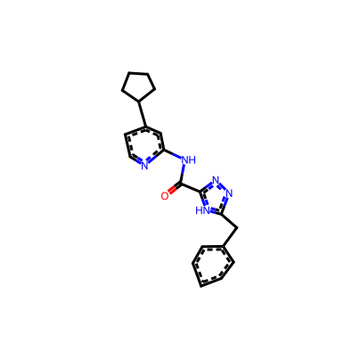 O=C(Nc1cc(C2CCCC2)ccn1)c1nnc(Cc2ccccc2)[nH]1